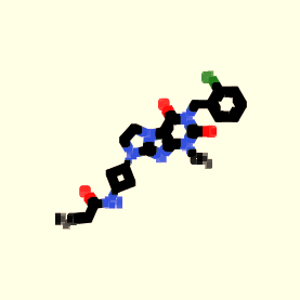 C=CC(=O)N[C@H]1C[C@H](N2CCn3c2nc2c3c(=O)n(Cc3ccccc3Cl)c(=O)n2C)C1